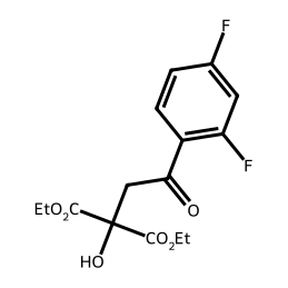 CCOC(=O)C(O)(CC(=O)c1ccc(F)cc1F)C(=O)OCC